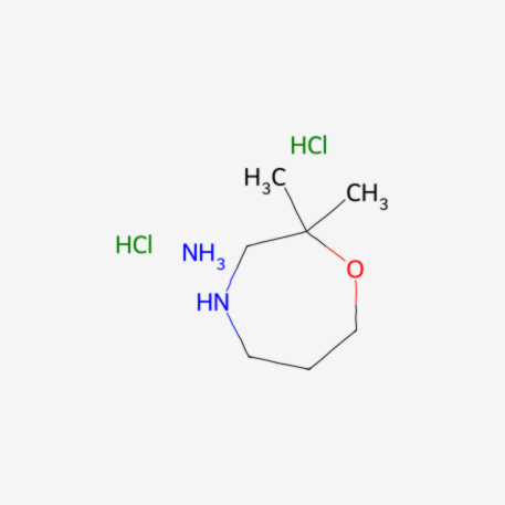 CC1(C)CNCCCO1.Cl.Cl.N